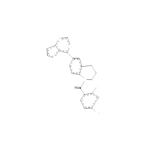 O=C(c1ccc(O)cc1O)N1CCCc2cc(-c3ncnc4ccsc34)ccc21